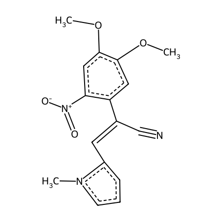 COc1cc(C(C#N)=Cc2cccn2C)c([N+](=O)[O-])cc1OC